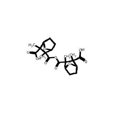 CC1(C(=O)O)C2CCC(O2)C1(C)C(=O)OC(=O)C1(C)C2CCC(O2)C1(C)C(=O)O